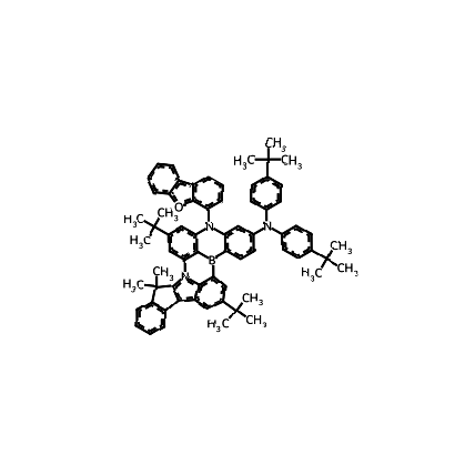 CC(C)(C)c1ccc(N(c2ccc(C(C)(C)C)cc2)c2ccc3c(c2)N(c2cccc4c2oc2ccccc24)c2cc(C(C)(C)C)cc4c2B3c2cc(C(C)(C)C)cc3c5c(n-4c23)C(C)(C)c2ccccc2-5)cc1